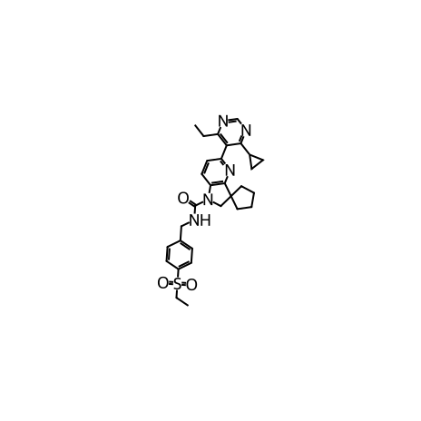 CCc1ncnc(C2CC2)c1-c1ccc2c(n1)C1(CCCC1)CN2C(=O)NCc1ccc(S(=O)(=O)CC)cc1